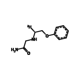 [2H]C(COc1ccccc1)NCC(N)=O